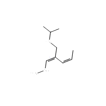 C/C=C\C(=C/NN)CNC(C)C